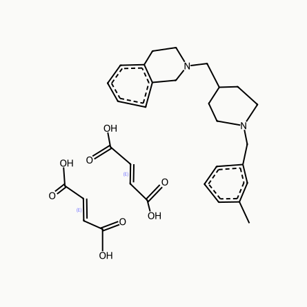 Cc1cccc(CN2CCC(CN3CCc4ccccc4C3)CC2)c1.O=C(O)/C=C/C(=O)O.O=C(O)/C=C/C(=O)O